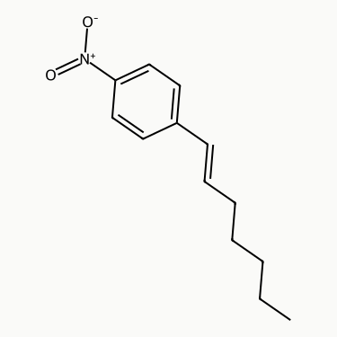 CCCCC/C=C/c1ccc([N+](=O)[O-])cc1